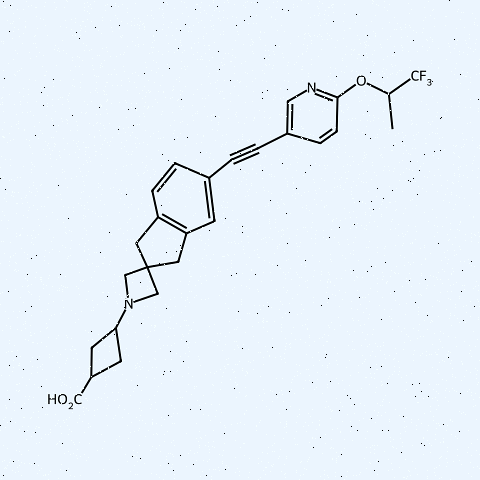 CC(Oc1ccc(C#Cc2ccc3c(c2)CC2(C3)CN(C3CC(C(=O)O)C3)C2)cn1)C(F)(F)F